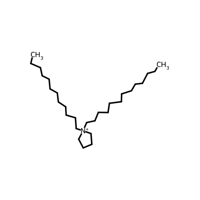 CCCCCCCCCCCCC[N+]1(CCCCCCCCCCCC)CCCC1